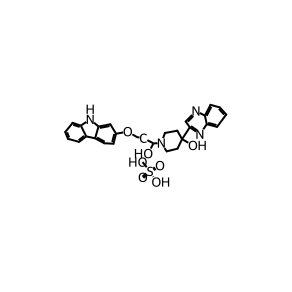 O=S(=O)(O)O.OC(CCOc1ccc2c(c1)[nH]c1ccccc12)N1CCC(O)(c2cnc3ccccc3n2)CC1